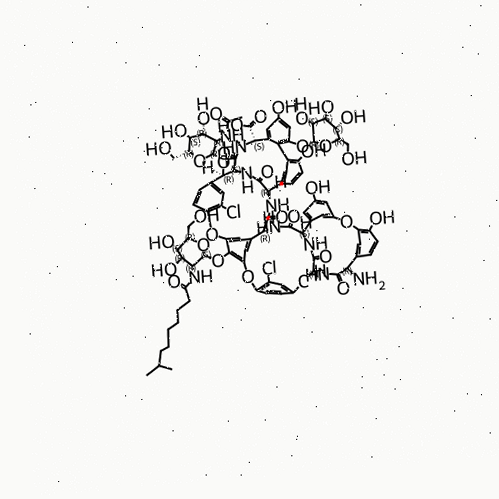 CC(=O)N[C@H]1[C@H](O[C@@H]2c3ccc(c(Cl)c3)Oc3cc4cc(c3O[C@@H]3O[C@H](CO)[C@@H](O)[C@H](O)[C@H]3NC(=O)CCCCCCC(C)C)Oc3ccc(cc3Cl)C[C@H]3NC(=O)[C@H](N)c5ccc(O)c(c5)Oc5cc(O)cc(c5)[C@H](NC3=O)C(=O)N[C@H]4C(=O)N[C@H]3C(=O)N[C@@H]2C(=O)N[C@H](C(=O)O)c2cc(O)cc(O[C@H]4O[C@H](CO)[C@@H](O)[C@H](O)[C@@H]4O)c2-c2cc3ccc2O)O[C@H](CO)[C@@H](O)[C@@H]1O